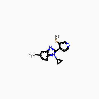 CCSc1cnccc1-c1nc2cc(C(F)(F)F)ccc2n1C1CC1